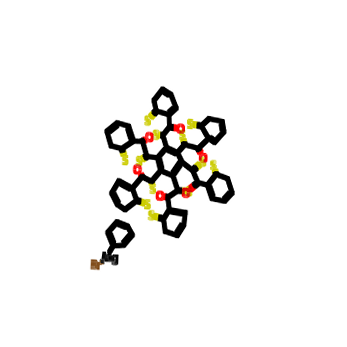 O=C(C(=S)c1c(C(=S)C(=O)C2=CC=CCC2=S)c(C(=S)C(=O)C2=CC=CCC2=S)c(C(=S)C(=O)C2=CC=CCC2=S)c(C(=S)C(=O)C2=CC=CCC2=S)c1C(=S)C(=O)C1=CC=CCC1=S)C1=CC=CCC1=S.[Br][Mg][c]1ccccc1